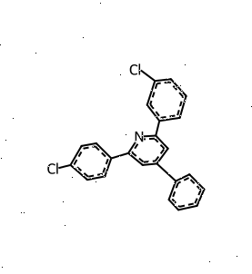 Clc1ccc(-c2cc(-c3ccccc3)cc(-c3cccc(Cl)c3)n2)cc1